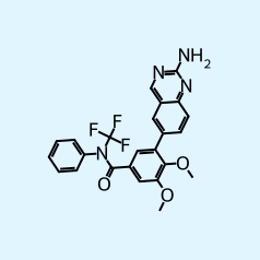 COc1cc(C(=O)N(c2ccccc2)C(F)(F)F)cc(-c2ccc3nc(N)ncc3c2)c1OC